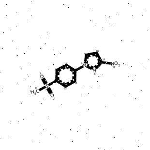 CS(=O)(=O)c1ccc(-n2ccc([N+](=O)[O-])n2)cc1